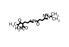 CC(C)C(=O)C(CCCCNC(=O)CCc1cn(C(C)C)nn1)C(N)=O